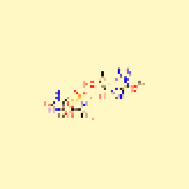 CCOc1nc(N)nc2c1ncn2[C@@H]1O[C@H](CO[P@](=O)(N[C@H](C)C(=O)OC(C)C)SC[C@@H]2NC(=O)NC2=O)[C@@H](O)[C@@]1(C)F